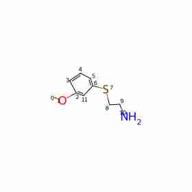 COc1cccc(SCCN)c1